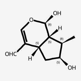 C[C@@H]1[C@H]2[C@H](O)OC=C(C=O)[C@H]2C[C@@H]1O